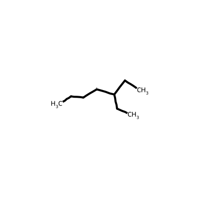 CCC[CH]C(CC)CC